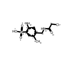 Cc1cc(S(=O)(=O)O)c(N)cc1CNC(=O)CCl